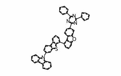 c1ccc(-c2nc(-c3ccccc3)nc(-c3ccc4c(c3)oc3cccc(-c5cccc6c5sc5cc(-n7c8ccccc8c8ccccc87)ccc56)c34)n2)cc1